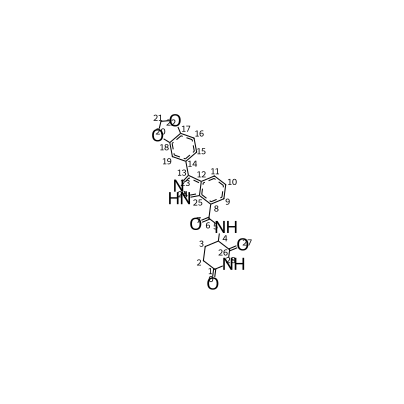 O=C1CCC(NC(=O)c2cccc3c(-c4ccc5c(c4)OCO5)n[nH]c23)C(=O)N1